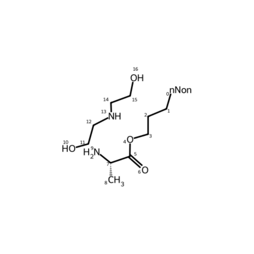 CCCCCCCCCCCCOC(=O)[C@H](C)N.OCCNCCO